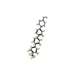 CCC1CCC(c2ccc(-c3ccc(-c4cc(F)c(C(F)(F)F)c(F)c4)c(F)c3)c(F)c2)CC1